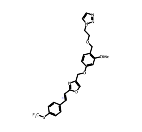 COc1cc(OCc2coc(/C=C/c3ccc(SC(F)(F)F)cc3)n2)ccc1COCCn1ccnn1